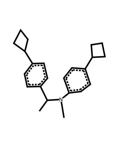 CC(c1ccc(C2CCC2)cc1)N(C)c1ccc(C2CCC2)cc1